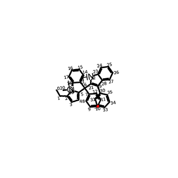 CCc1ccc(C(c2ccccc2)(c2ccccc2OC)c2[nH]c3ccccc3c2-c2ccccc2)[nH]1